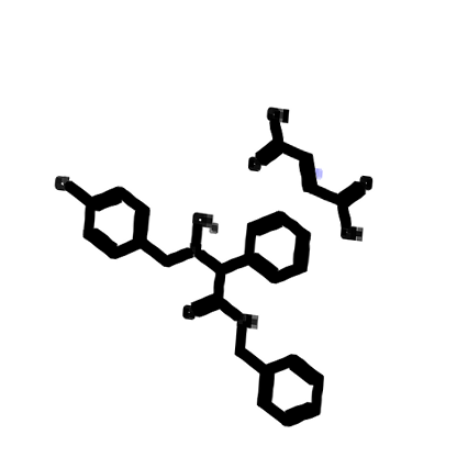 CN(Cc1ccc(Cl)cc1)C(C(=O)NCc1ccccc1)c1ccccc1.O=C(O)/C=C/C(=O)O